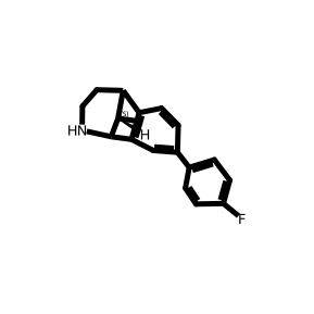 C[C@H]1C2CCNC1c1cc(-c3ccc(F)cc3)ccc12